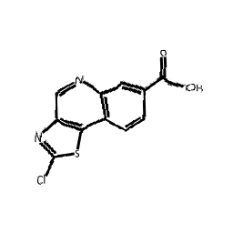 O=C(O)c1ccc2c(c1)ncc1nc(Cl)sc12